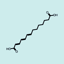 O=C(O)/C=C/C=C/C=C/CCCCCCC(=O)O